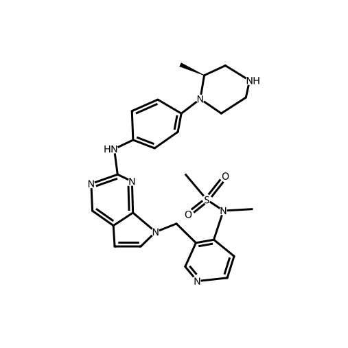 C[C@H]1CNCCN1c1ccc(Nc2ncc3ccn(Cc4cnccc4N(C)S(C)(=O)=O)c3n2)cc1